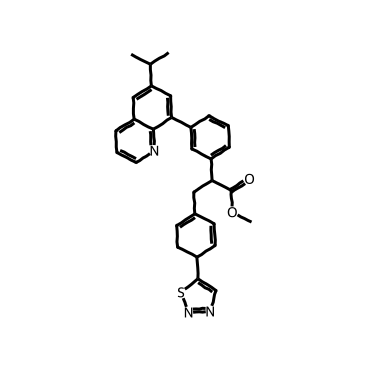 COC(=O)C(CC1=CCC(c2cnns2)C=C1)c1cccc(-c2cc(C(C)C)cc3cccnc23)c1